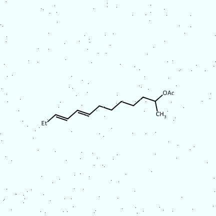 CCC=CC=CCCCCCC(C)OC(C)=O